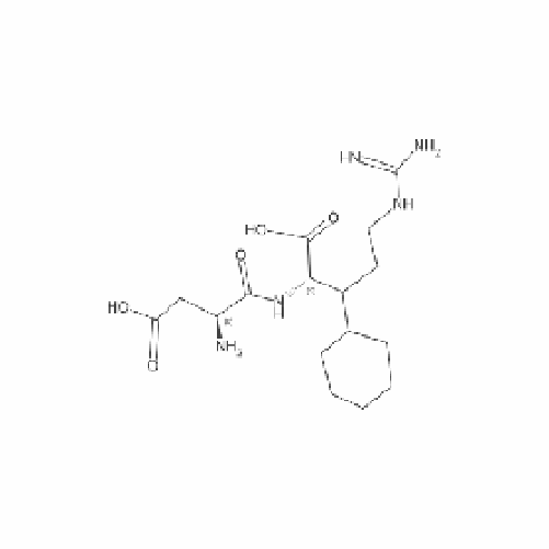 N=C(N)NCCC(C1CCCCC1)[C@H](NC(=O)[C@@H](N)CC(=O)O)C(=O)O